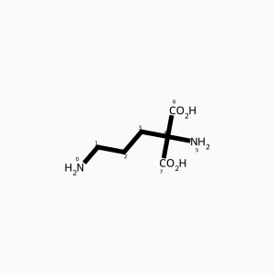 NCCCC(N)(C(=O)O)C(=O)O